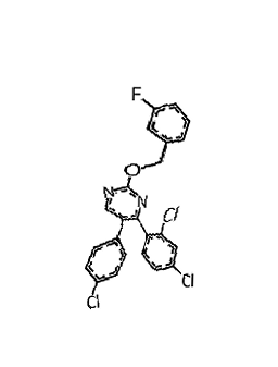 Fc1cccc(COc2ncc(-c3ccc(Cl)cc3)c(-c3ccc(Cl)cc3Cl)n2)c1